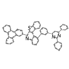 c1ccc(-c2cc(-c3cccc(-c4cccc5nc(-c6ccc7c8ccccc8c8ccccc8c7c6)c6sc7ccccc7c6c45)c3)nc(-c3ccccc3)n2)cc1